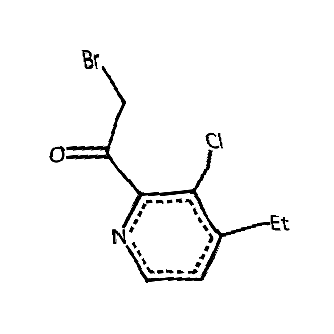 CCc1ccnc(C(=O)CBr)c1Cl